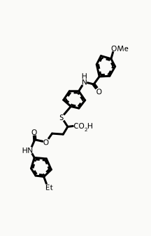 CCc1ccc(NC(=O)OCCC(Sc2ccc(NC(=O)c3ccc(OC)cc3)cc2)C(=O)O)cc1